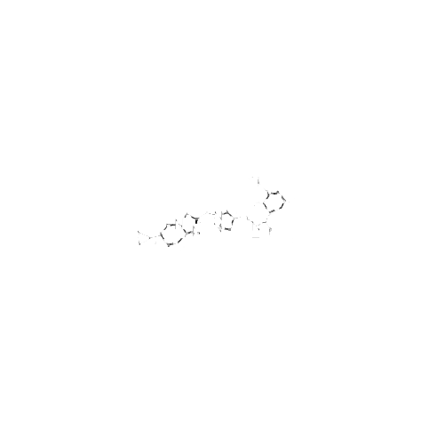 CC(NSc1cnn(Cc2cn3cc(C4CC4)ccc3n2)c1)c1cccc(Cl)c1